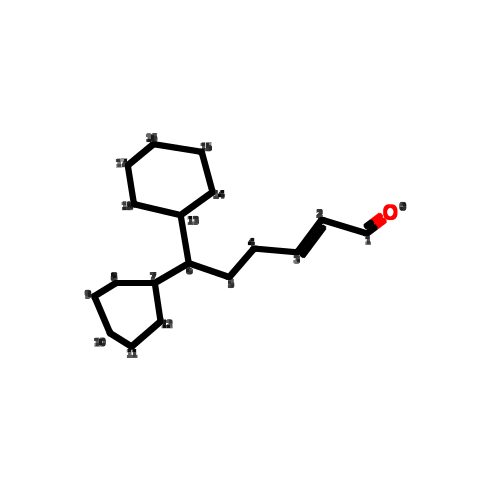 O=CC=CCCC(C1CCCCC1)C1CCCCC1